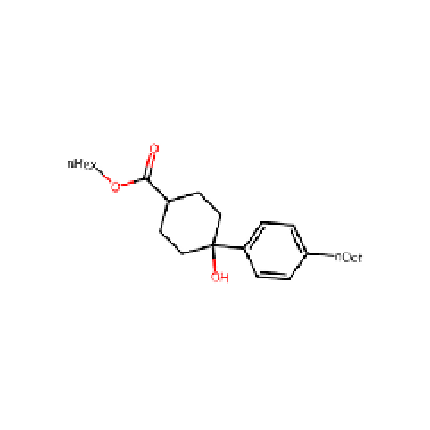 CCCCCCCCc1ccc(C2(O)CCC(C(=O)OCCCCCC)CC2)cc1